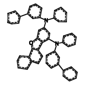 c1ccc(-c2cccc(N(c3ccccc3)c3cc(N(c4ccccc4)c4cccc(-c5ccccc5)c4)c4c(c3)oc3c5ccccc5ccc34)c2)cc1